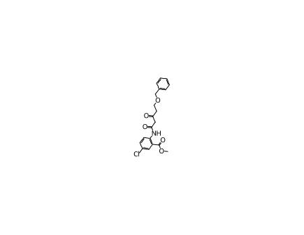 COC(=O)c1cc(Cl)ccc1NC(=O)CC(=O)CCOCc1ccccc1